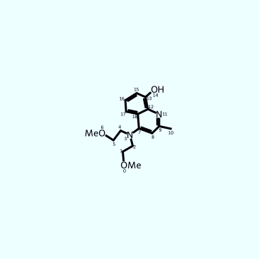 COCCN(CCOC)c1cc(C)nc2c(O)cccc12